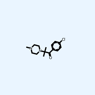 CN1CCN(C(C)(C)C(=O)c2ccc(Cl)cc2)CC1